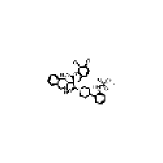 CS(=O)(=O)Nc1ccccc1C1CCN(C(=O)[C@@](Cc2ccc(Cl)c(Cl)c2)(C(N)=O)[C@@H]2Cc3ccccc3CN2)CC1